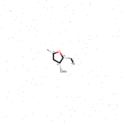 [2H]C[C@H]1O[C@@H](C)C[C@H]1OC